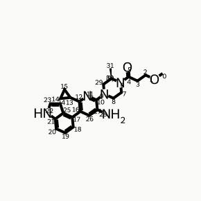 COCCC(=O)N1CCN(c2nc(C3CC3)c(-c3cccc4[nH]ccc34)cc2N)C[C@H]1C